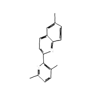 Cc1ccc2nc(-c3nc(C)ccc3C)ccc2c1